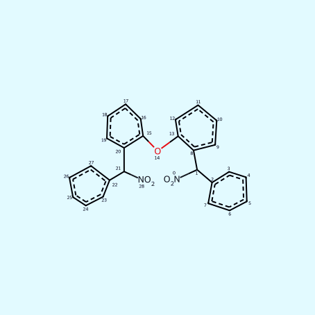 O=[N+]([O-])C(c1ccccc1)c1ccccc1Oc1ccccc1C(c1ccccc1)[N+](=O)[O-]